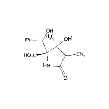 CC(C)[C@H](O)[C@@]1(C(=O)O)NC(=O)C(C)[C@]1(C)O